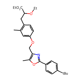 CCOC(=O)C(Cc1ccc(OCc2nc(-c3ccc(C(C)(C)C)cc3)oc2C)cc1C)OCC